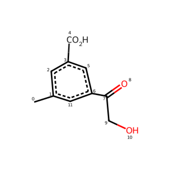 Cc1cc(C(=O)O)cc(C(=O)CO)c1